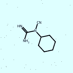 N#CN(C(=N)N)C1CCCCC1